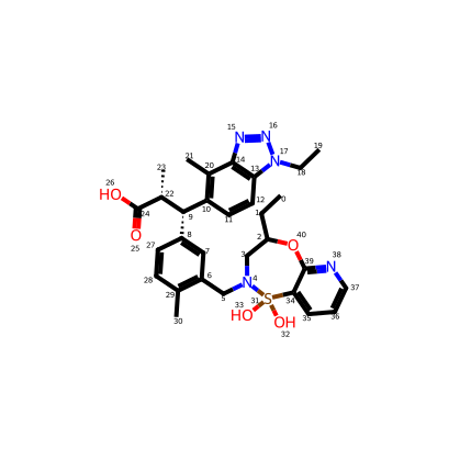 CCC1CN(Cc2cc([C@@H](c3ccc4c(nnn4CC)c3C)[C@@H](C)C(=O)O)ccc2C)S(O)(O)c2cccnc2O1